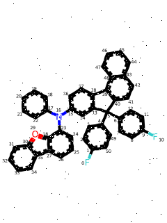 Fc1ccc(C2(c3ccc(F)cc3)c3cc(N(c4ccccc4)c4cccc5c4oc4ccccc45)ccc3-c3c2ccc2ccccc32)cc1